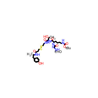 CC(Cc1ccc(O)cc1)NC(=O)CCSSCCNC(=O)C(NC(=O)C(CCCCNC(=O)OC(C)(C)C)NC(=O)CNC=O)C(C)O